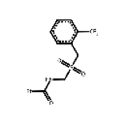 CCC(=O)NCS(=O)(=O)Cc1ccccc1C(F)(F)F